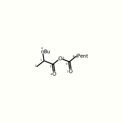 CCCCC(C)C(=O)OC(=O)C(C)CCC